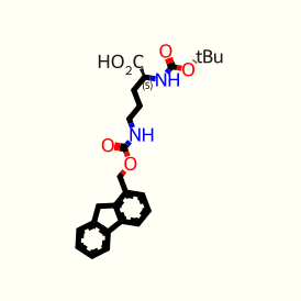 CC(C)(C)OC(=O)N[C@@H](CCCNC(=O)OCc1cccc2c1Cc1ccccc1-2)C(=O)O